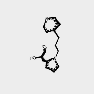 O=C(O)c1cccn1CCCc1ccncc1